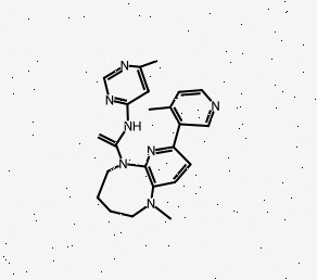 C=C(Nc1cc(C)ncn1)N1CCCCN(C)c2ccc(-c3cnccc3C)nc21